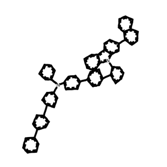 c1ccc(-c2ccc(-c3ccc(N(c4ccccc4)c4ccc(-c5ccc(-c6ccccc6-n6c7ccccc7c7ccc(-c8cccc9ccccc89)cc76)cc5)cc4)cc3)cc2)cc1